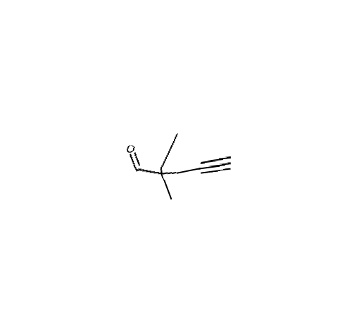 C#CC(C)(C)C=O